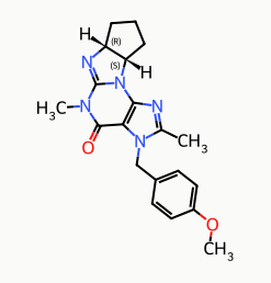 COc1ccc(Cn2c(C)nc3c2C(=O)N(C)C2=N[C@@H]4CCC[C@@H]4N23)cc1